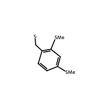 CSc1ccc(C[S])c(SC)c1